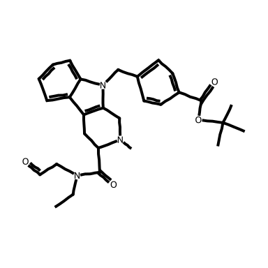 CCN(CC=O)C(=O)C1Cc2c(n(Cc3ccc(C(=O)OC(C)(C)C)cc3)c3ccccc23)CN1C